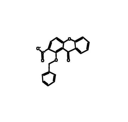 O=c1c2ccccc2oc2ccc([N+](=O)[O-])c(OCc3ccccc3)c12